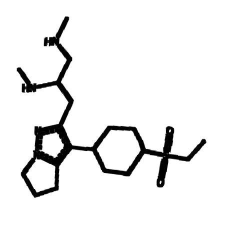 CCS(=O)(=O)C1CCC(c2c(CC(CNC)NC)nn3c2CCC3)CC1